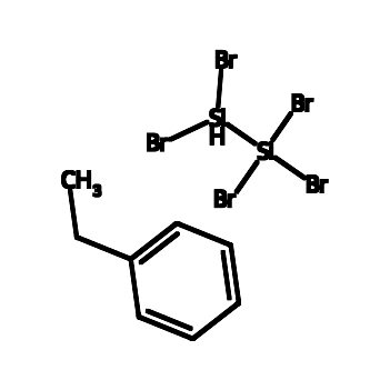 Br[SiH](Br)[Si](Br)(Br)Br.CCc1ccccc1